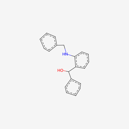 OC(c1ccccc1)c1ccccc1NCc1ccccc1